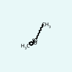 CCCCCCCCCCCCOS(=O)(=S)c1ccc(C)cc1